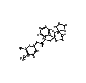 Fc1cc(CNCCC2(c3ccccn3)CCOC3(CCCC3)C2)cnc1C(F)(F)F